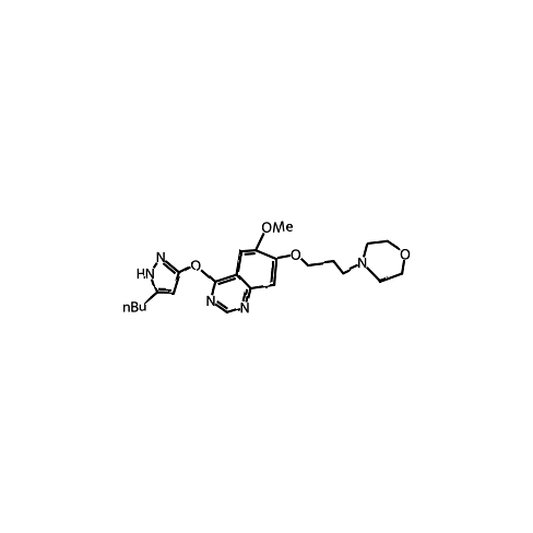 CCCCc1cc(Oc2ncnc3cc(OCCCN4CCOCC4)c(OC)cc23)n[nH]1